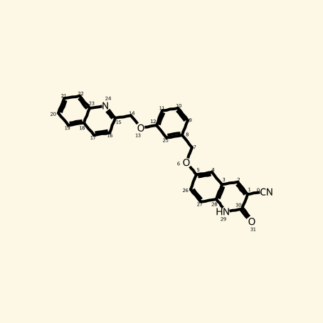 N#Cc1cc2cc(OCc3cccc(OCc4ccc5ccccc5n4)c3)ccc2[nH]c1=O